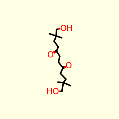 CC(C)(CO)CCC(=O)CCC(=O)CCC(C)(C)CO